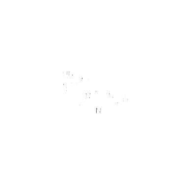 C[C@@H]1CCN(C(=O)C2(C#N)CC2)C[C@@H]1n1ccc2cnc3[nH]ccc3c21